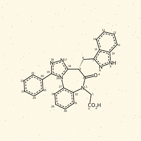 O=C(O)CN1C(=O)[C@@H](Cc2n[nH]c3ccccc23)c2nnc(-c3ccccc3)n2-c2ccccc21